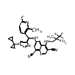 Cc1nc(F)ccc1C(Nc1cc(C#N)c2ncc(C#N)c(NCC(C)(C)C(F)(F)F)c2c1)c1cn(C2(C3CC3)CC2)nn1